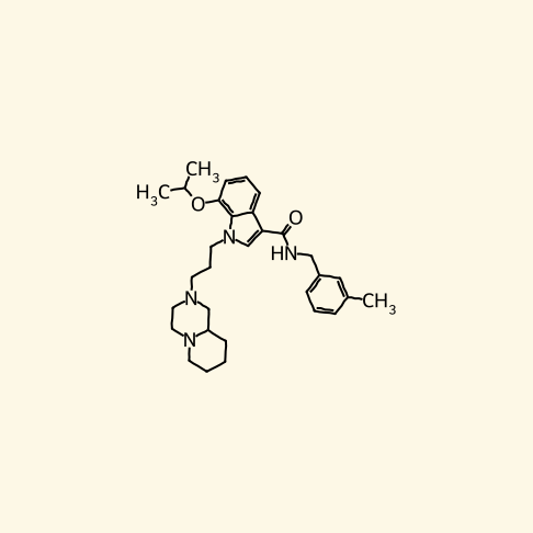 Cc1cccc(CNC(=O)c2cn(CCCN3CCN4CCCCC4C3)c3c(OC(C)C)cccc23)c1